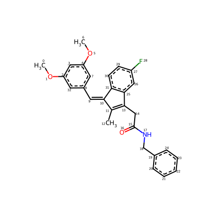 COc1[c]c(OC)cc(/C=C2/C(C)=C(CC(=O)NCc3ccccc3)c3cc(F)ccc32)c1